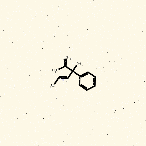 C=C(C)C(C)(/C=C/C(C)=O)c1ccccc1